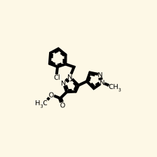 COC(=O)c1cc(-c2cnn(C)c2)n(Cc2ccccc2Cl)n1